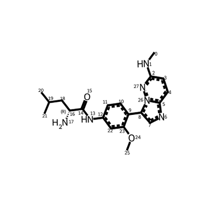 CNc1ccc2ncc(-c3ccc(NC(=O)[C@H](N)CC(C)C)cc3OC)n2n1